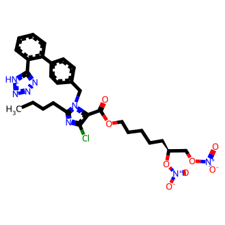 CCCCc1nc(Cl)c(C(=O)OCCCCC[C@@H](CO[N+](=O)[O-])O[N+](=O)[O-])n1Cc1ccc(-c2ccccc2-c2nnn[nH]2)cc1